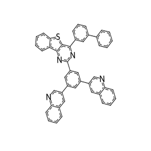 c1ccc(-c2cccc(-c3nc(-c4cc(-c5cnc6ccccc6c5)cc(-c5cnc6ccccc6c5)c4)nc4c3sc3ccccc34)c2)cc1